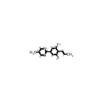 C/C=C/c1c(F)cc(-c2ncc(C)cn2)cc1F